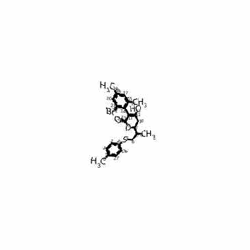 Cc1ccc(SCC(C)C2CC(O)=C(c3c(C)cc(C)cc3Br)C(=O)O2)cc1